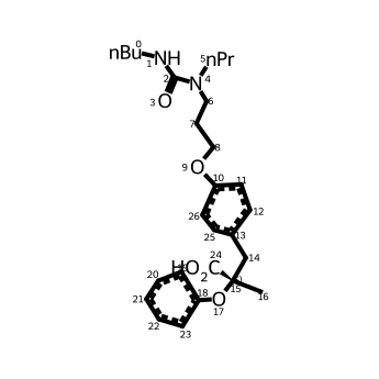 CCCCNC(=O)N(CCC)CCCOc1ccc(C[C@](C)(Oc2ccccc2)C(=O)O)cc1